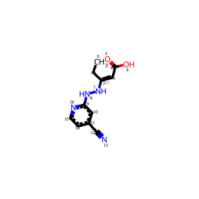 CC/C(=C\C(=O)O)NNc1cc(C#N)ccn1